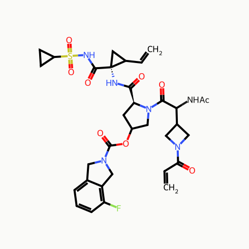 C=CC(=O)N1CC(C(NC(C)=O)C(=O)N2CC(OC(=O)N3Cc4cccc(F)c4C3)C[C@H]2C(=O)N[C@]2(C(=O)NS(=O)(=O)C3CC3)CC2C=C)C1